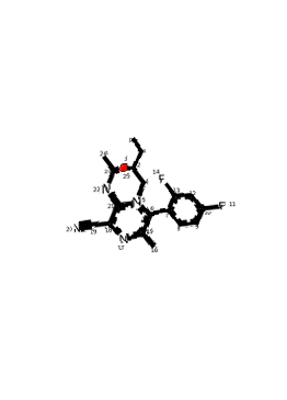 CCC(C)Cn1c(-c2ccc(F)cc2F)c(C)nc(C#N)/c1=N/C(C)=O